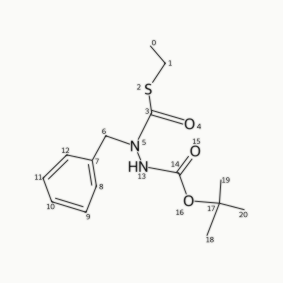 CCSC(=O)N(Cc1ccccc1)NC(=O)OC(C)(C)C